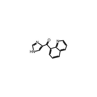 O=C(c1c[nH]cn1)c1cccc2cccnc12